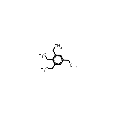 CCc1cc(CC)c(CC)c(CC)c1